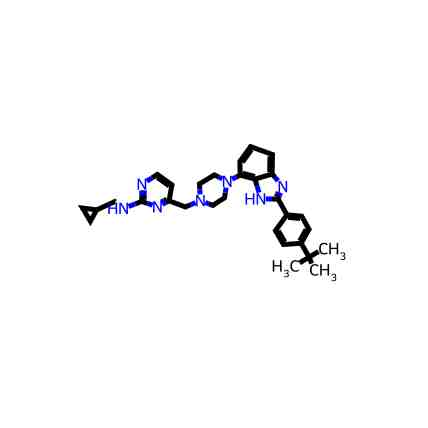 CC(C)(C)c1ccc(-c2nc3cccc(N4CCN(Cc5ccnc(NCC6CC6)n5)CC4)c3[nH]2)cc1